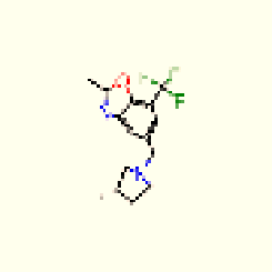 Cc1nc2cc(CN3CC[C@H](C)C3)cc(C(F)(F)F)c2o1